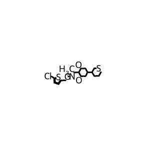 CC(=NOCc1ccc(Cl)s1)C1C(=O)CC(C2CCCSC2)CC1=O